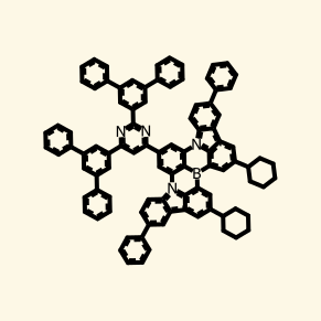 c1ccc(-c2cc(-c3ccccc3)cc(-c3cc(-c4cc5c6c(c4)-n4c7ccc(-c8ccccc8)cc7c7cc(C8CCCCC8)cc(c74)B6c4cc(C6CCCCC6)cc6c7cc(-c8ccccc8)ccc7n-5c46)nc(-c4cc(-c5ccccc5)cc(-c5ccccc5)c4)n3)c2)cc1